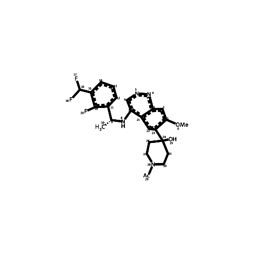 COc1cc2nncc(N[C@H](C)c3cccc(C(F)F)c3F)c2cc1C1(O)CCN(C(C)=O)CC1